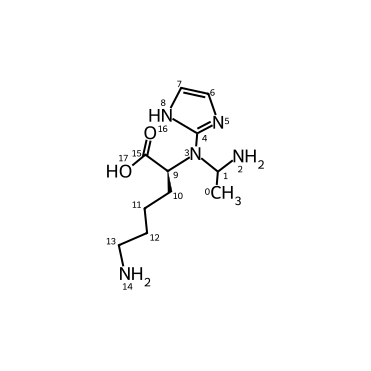 CC(N)N(c1ncc[nH]1)[C@@H](CCCCN)C(=O)O